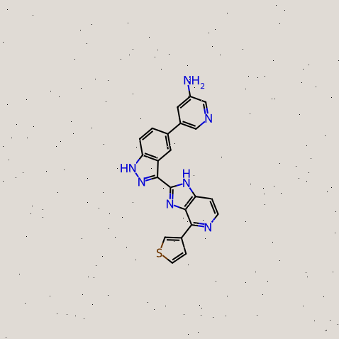 Nc1cncc(-c2ccc3[nH]nc(-c4nc5c(-c6ccsc6)nccc5[nH]4)c3c2)c1